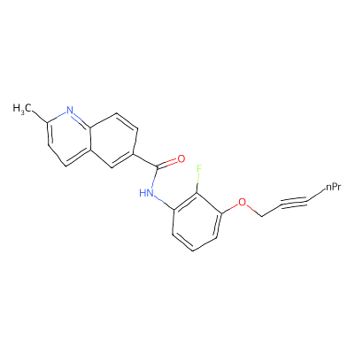 CCCC#CCOc1cccc(NC(=O)c2ccc3nc(C)ccc3c2)c1F